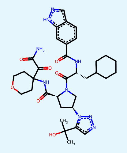 CC(C)(O)c1cnnn1[C@H]1C[C@@H](C(=O)NC2(C(=O)C(N)=O)CCOCC2)N(C(=O)[C@@H](CC2CCCCC2)NC(=O)c2ccc3cn[nH]c3c2)C1